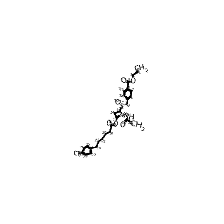 C=CCOC(=O)c1ccc(C[S+]([O-])C2CC(OC(=O)CCCCCc3ccc(Cl)cc3)=[N+]2NC(C)=O)cc1